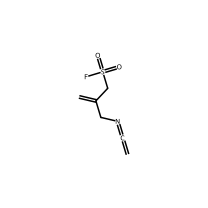 C=C=NCC(=C)CS(=O)(=O)F